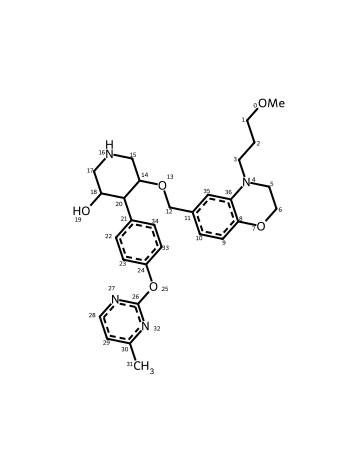 COCCCN1CCOc2ccc(COC3CNCC(O)C3c3ccc(Oc4nccc(C)n4)cc3)cc21